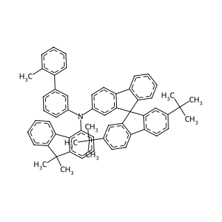 Cc1ccccc1-c1cccc(N(c2ccc3c(c2)C2(c4ccccc4-3)c3cc(C(C)(C)C)ccc3-c3ccc(C(C)(C)C)cc32)c2cccc3c2-c2ccccc2C3(C)C)c1